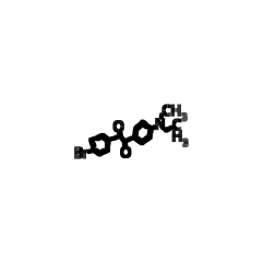 CCN(CC)c1ccc(C(=O)C(=O)c2ccc(Br)cc2)cc1